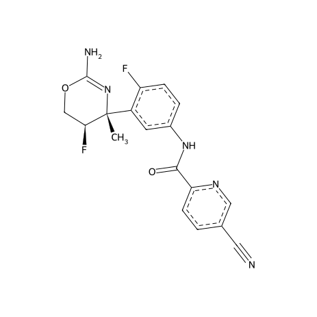 C[C@]1(c2cc(NC(=O)c3ccc(C#N)cn3)ccc2F)N=C(N)OC[C@@H]1F